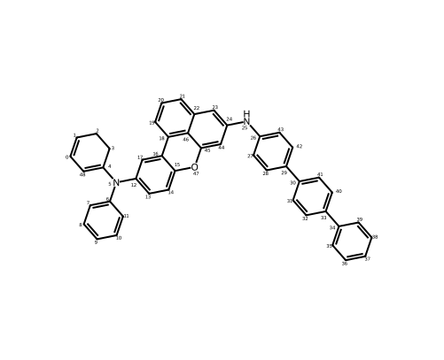 C1=CCCC(N(c2ccccc2)c2ccc3c(c2)-c2cccc4cc(Nc5ccc(-c6ccc(-c7ccccc7)cc6)cc5)cc(c24)O3)=C1